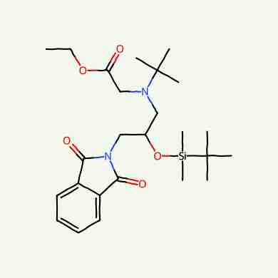 CCOC(=O)CN(CC(CN1C(=O)c2ccccc2C1=O)O[Si](C)(C)C(C)(C)C)C(C)(C)C